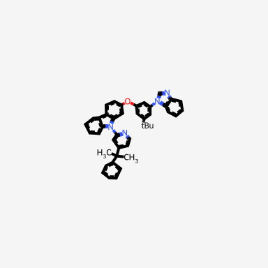 CC(C)(C)c1cc(Oc2ccc3c4ccccc4n(-c4cc(C(C)(C)c5ccccc5)ccn4)c3c2)cc(-n2cnc3ccccc32)c1